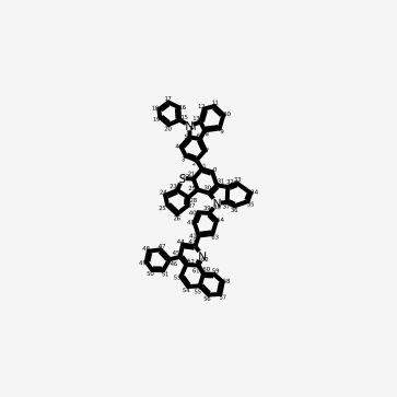 C1=C(c2ccc3c(c2)c2ccccc2n3-c2ccccc2)C2Sc3ccccc3C2c2c1c1ccccc1n2-c1ccc(-c2cc(-c3ccccc3)c3ccc4ccccc4c3n2)cc1